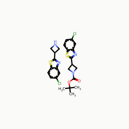 CC(C)(C)OC(=O)N1CC(c2nc3cc(Cl)ccc3s2)C1.Clc1ccc2sc(C3CNC3)nc2c1